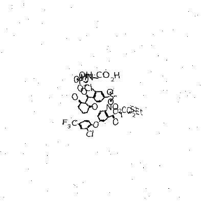 CCOC(=O)C(C)OC(=O)c1cc(Oc2ccc(C(F)(F)F)cc2Cl)ccc1[N+](=O)[O-].CS(=O)(=O)c1ccc(C(=O)C2C(=O)CCCC2=O)c(Cl)c1.C[S+](C)C.O=C(O)CNCP(=O)([O-])O